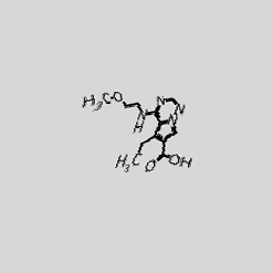 CCc1c(C(=O)O)cn2ncnc(NCCOC)c12